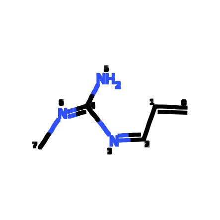 C=C/C=N\C(N)=N/C